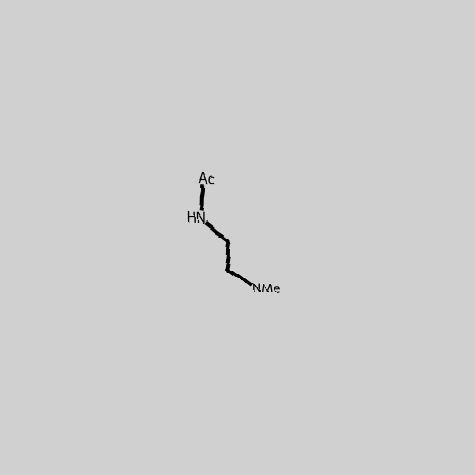 [CH2]NCCNC(C)=O